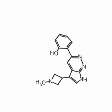 CN1CC(c2c[nH]c3nnc(-c4ccccc4O)cc23)C1